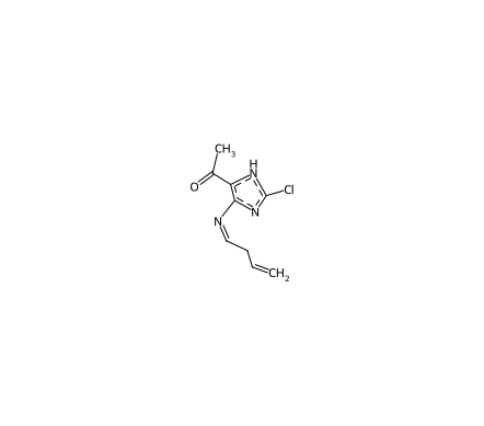 C=CC/C=N\c1nc(Cl)[nH]c1C(C)=O